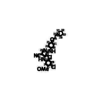 COc1cc(Nc2nc(Nc3ccc(OCCN4CCCC4)cc3)ncc2C#N)c(Cl)cc1Cl